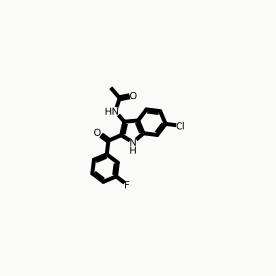 CC(=O)Nc1c(C(=O)c2cccc(F)c2)[nH]c2cc(Cl)ccc12